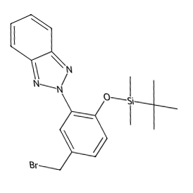 CC(C)(C)[Si](C)(C)Oc1ccc(CBr)cc1-n1nc2ccccc2n1